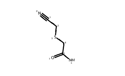 N#CCSCC([NH])=O